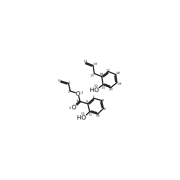 C=CCOC(=O)c1ccccc1O.C=CCc1ccccc1O